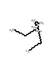 CCCCCCCC/C=C\CCCCCCCC(=O)OCC(C[n+]1c(C)cc(C)cc1C)OC(=O)CCCCCCC/C=C\CCCCCCCC